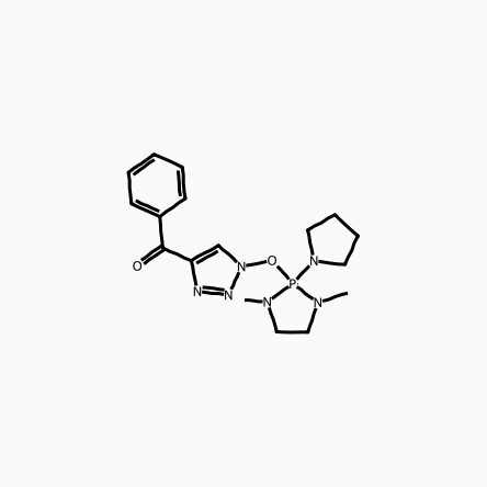 CN1CCN(C)[P]1(On1cc(C(=O)c2ccccc2)nn1)N1CCCC1